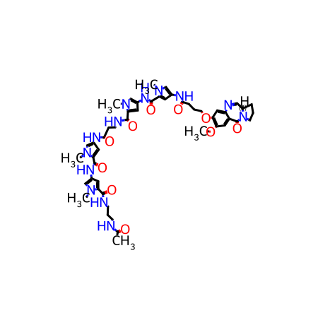 COc1cc2c(cc1OCCCC(=O)Nc1cc(C(=O)Nc3cc(C(=O)NCCC(=O)Nc4cc(C(=O)Nc5cc(C(=O)NCCCNC(C)=O)n(C)c5)n(C)c4)n(C)c3)n(C)c1)N=C[C@@H]1CCCN1C2=O